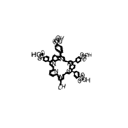 C#Cc1cc2nc(c1)c1cc(-c3ccc(S(=O)(=O)O)cc3)c3ccc4c(-c5ccc(S(=O)(=O)O)cc5)cc(nc4c3n1)c1cc(-c3ccc(S(=O)(=O)O)cc3)c3ccc4c(-c5ccc(S(=O)(=O)O)cc5)cc(nc4c3n1)c1cccc2n1